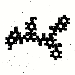 COc1ccc(S(=O)(=O)N(CCNc2cc(C)nc3ccc(I)cc23)CCC(=O)Nc2ccc(C(=O)N3CCCCC3)cc2OCC(=O)c2ccc3ccccc3c2)cc1